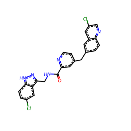 O=C(NCc1n[nH]c2ccc(Cl)cc12)c1cc(Cc2ccc3ncc(Cl)cc3c2)ccn1